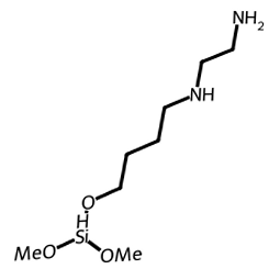 CO[SiH](OC)OCCCCNCCN